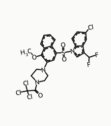 COc1c(N2CCN(C(=O)C(Cl)(Cl)Cl)CC2)cc(S(=O)(=O)n2cc(C(F)F)c3cc(Cl)ccc32)c2ccccc12